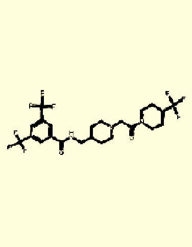 O=C(NCC1CCN(CC(=O)N2CCC(C(F)(F)F)CC2)CC1)c1cc(C(F)(F)F)cc(C(F)(F)F)c1